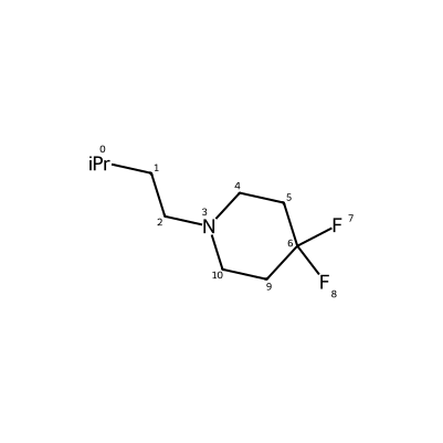 CC(C)CCN1CCC(F)(F)CC1